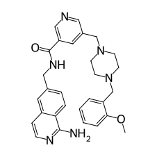 COc1ccccc1CN1CCN(Cc2cncc(C(=O)NCc3ccc4c(N)nccc4c3)c2)CC1